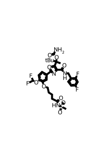 CC(C)(C)C(C)(OC(N)=O)c1oc(-c2ccc(OC(F)F)c(OCCCCC(=O)NS(C)(=O)=O)c2)nc1C(=O)NCc1ccc(F)cc1F